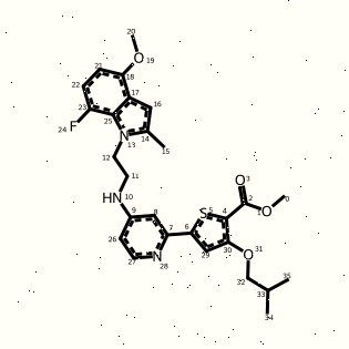 COC(=O)c1sc(-c2cc(NCCn3c(C)cc4c(OC)ccc(F)c43)ccn2)cc1OCC(C)C